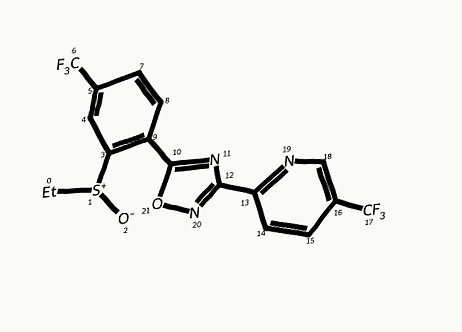 CC[S+]([O-])c1cc(C(F)(F)F)ccc1-c1nc(-c2ccc(C(F)(F)F)cn2)no1